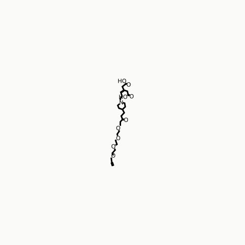 C#CCOCCOCCOCCOCCC(=O)CCC1CCN(CCC=C(CC(=O)O)CC(=O)O)CC1